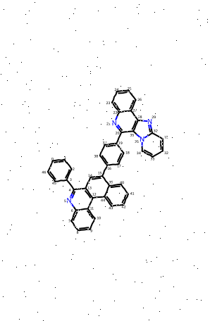 c1ccc(-c2nc3ccccc3c3c2cc(-c2ccc(-c4nc5ccccc5c5nc6ccccn6c45)cc2)c2ccccc23)cc1